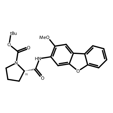 COc1cc2c(cc1NC(=O)[C@@H]1CCCN1C(=O)OC(C)(C)C)oc1ccccc12